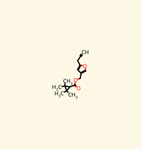 C#CCc1cc(COC(=O)C2C(C)(C)C2(C)C)co1